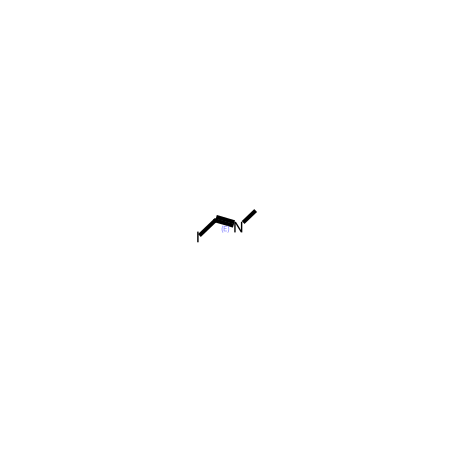 C/N=C/I